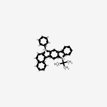 CC(C)(C)n1c2ccccc2c2cc3c(cc21)c1c2ccccc2ccc1n3-c1ccccc1